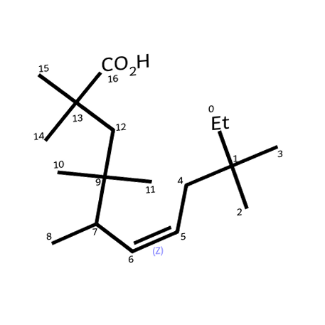 CCC(C)(C)C/C=C\C(C)C(C)(C)CC(C)(C)C(=O)O